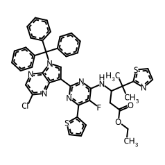 CCOC(=O)CC(Nc1nc(-c2cn(C(c3ccccc3)(c3ccccc3)c3ccccc3)c3ncc(Cl)nc23)nc(-c2cccs2)c1F)C(C)(C)c1nccs1